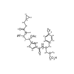 CC(=O)OC(CC(C(C)C)N(C)C(=O)CCC1CC1)c1nc(C(=O)NC(Cc2ccc(C(F)(F)F)cc2)CC(C)C(=O)O)cs1